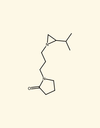 CC(C)C1CN1CCCN1CCCC1=O